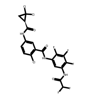 O=C(Nc1cc(NC(=O)C(F)F)c(F)c(F)c1F)c1cc(NC(=O)[C@H]2CC2(Cl)Cl)ccc1Cl